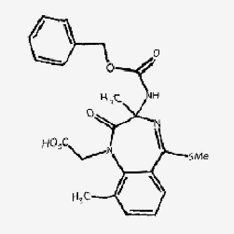 CSC1=NC(C)(NC(=O)OCc2ccccc2)C(=O)N(CC(=O)O)c2c(C)cccc21